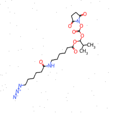 CC(C)C(OC(=O)CCCCCNC(=O)CCCCCN=[N+]=[N-])OC(=O)ON1C(=O)CCC1=O